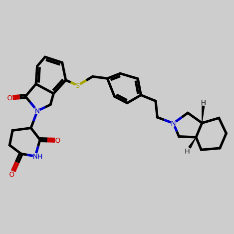 O=C1CCC(N2Cc3c(SCc4ccc(CCN5C[C@H]6CCCC[C@H]6C5)cc4)cccc3C2=O)C(=O)N1